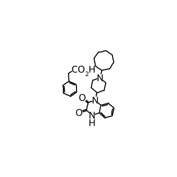 O=C(O)Cc1ccccc1.O=c1[nH]c2ccccc2n(C2CCN(C3CCCCCCC3)CC2)c1=O